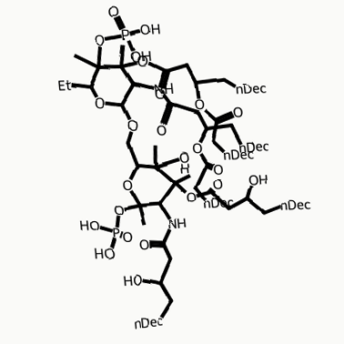 CCCCCCCCCCCC(=O)OC(CCCCCCCCCCC)CC(=O)NC1C(OCC2OC(C)(OP(=O)(O)O)C(NC(=O)CC(O)CCCCCCCCCCC)C(C)(OC(=O)CC(O)CCCCCCCCCCC)C2(C)O)OC(CC)C(C)(OP(=O)(O)O)C1(C)OC(=O)CC(CCCCCCCCCCC)OC(=O)CCCCCCCCCCC